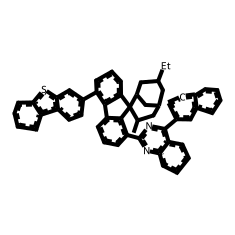 CCC1CC2CC(C)C3(c4cccc(-c5ccc6c(c5)sc5ccccc56)c4-c4cccc(-c5nc(-c6ccc7ccccc7c6)c6ccccc6n5)c43)C(C1)C2